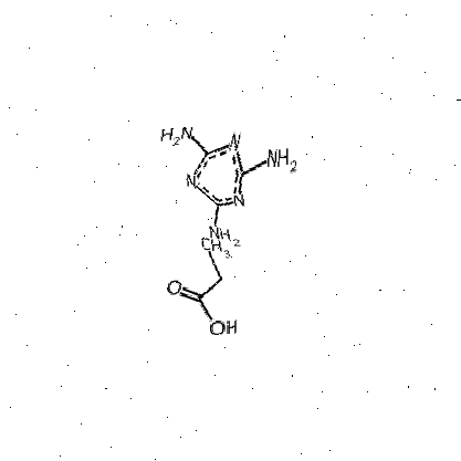 CCC(=O)O.Nc1nc(N)nc(N)n1